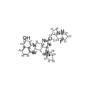 Oc1cc(N2CCc3c(nc(OC[C@]45CCCN4[C@H]4CCC[C@@]4(F)C5)nc3N3CC4CCC(C3)N4)C2)c2c(Br)cccc2c1